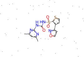 Cc1cc(C)nc(NC(=O)NS(=O)(=O)c2sccc2-c2ccon2)n1